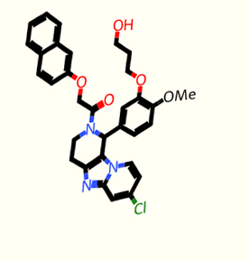 COc1ccc(C2c3c(nc4cc(Cl)ccn34)CCN2C(=O)COc2ccc3ccccc3c2)cc1OCCCO